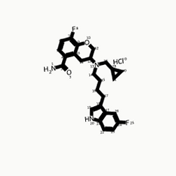 Cl.NC(=O)c1ccc(F)c2c1CC(N(CCCCc1c[nH]c3ccc(F)cc13)CC1CC1)CO2